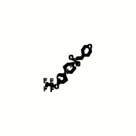 O=S(=O)(C=CC1CCOCC1)N1CCN(c2ccc(OC(F)(F)C(F)F)cc2)CC1